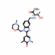 Cc1cc(-c2nc3cc(CN[C@H](C(=O)OCC(C)C)[C@@H](C)O)ccc3n2CC2CN(C)CCO2)cn(C)c1=O